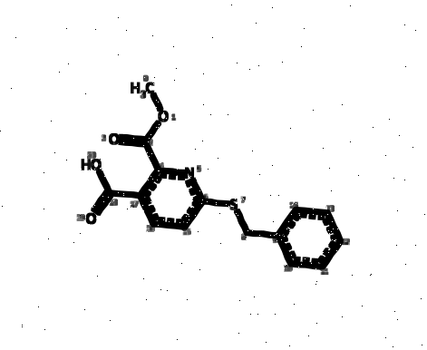 COC(=O)c1nc(SCc2ccccc2)ccc1C(=O)O